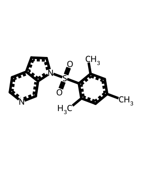 Cc1cc(C)c(S(=O)(=O)n2ccc3ccncc32)c(C)c1